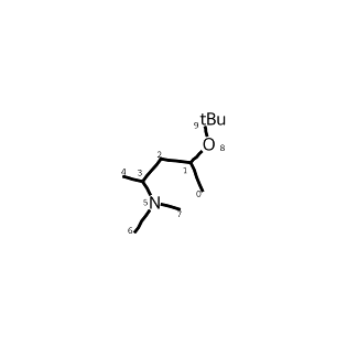 CC(CC(C)N(C)C)OC(C)(C)C